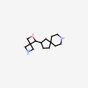 C1CC2(CCN1)CCC(C1OCC13CNC3)C2